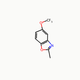 Cc1nc2cc(OC(F)(F)F)ccc2o1